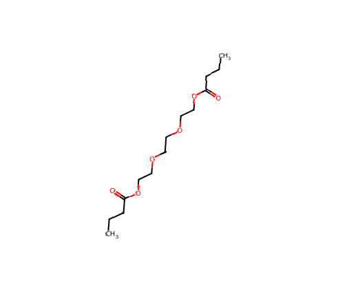 CCCC(=O)OCCOCCOCCOC(=O)CCC